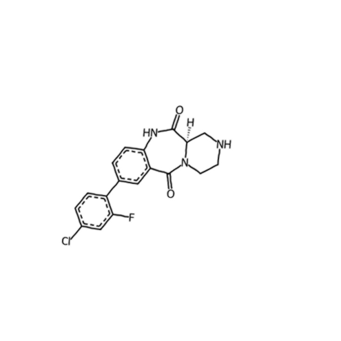 O=C1Nc2ccc(-c3ccc(Cl)cc3F)cc2C(=O)N2CCNC[C@H]12